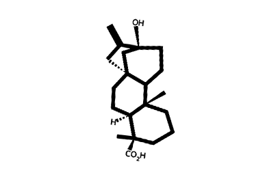 C=C1C[C@@]23CC[C@@H]4[C@](C)(C(=O)O)CCC[C@@]4(C)C2CC[C@]1(O)C3